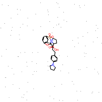 Cc1cc2ccc1OC(CCCc1ccc(N3CCCC3)cc1)[N+]1(CCCC1C(=O)O)S2(=O)=O